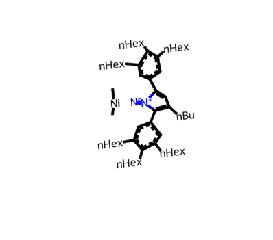 CCCCCCc1cc(C2=CC(CCCC)=C(c3cc(CCCCCC)c(CCCCCC)c(CCCCCC)c3)[N+]2=[N-])cc(CCCCCC)c1CCCCCC.[CH3][Ni][CH3]